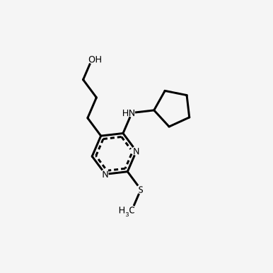 CSc1ncc(CCCO)c(NC2CCCC2)n1